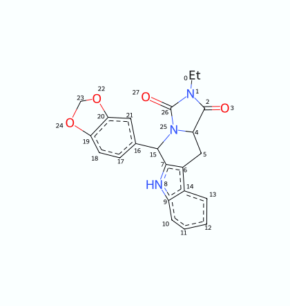 CCN1C(=O)C2Cc3c([nH]c4ccccc34)C(c3ccc4c(c3)OCO4)N2C1=O